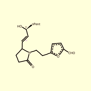 CCCCC[C@H](O)/C=C/C1CCC(=O)N1CCc1ccc(C=O)o1